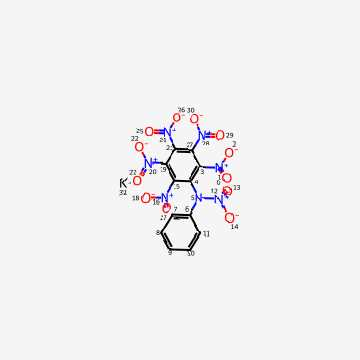 O=[N+]([O-])c1c(N(c2ccccc2)[N+](=O)[O-])c([N+](=O)[O-])c([N+](=O)[O-])c([N+](=O)[O-])c1[N+](=O)[O-].[K]